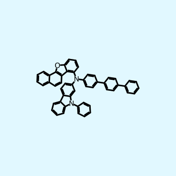 c1ccc(-c2ccc(-c3ccc(N(c4ccc5c6ccccc6n(-c6ccccc6)c5c4)c4cccc5oc6c7ccccc7ccc6c45)cc3)cc2)cc1